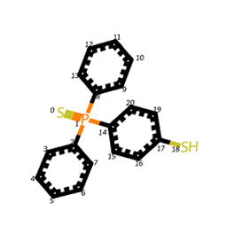 S=P(c1ccccc1)(c1ccccc1)c1ccc(S)cc1